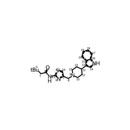 CC(C)(C)CC(=O)Nc1nc(CN2CCC(c3c[nH]c4ccccc34)CC2)cs1